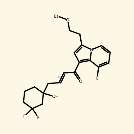 CCOCCc1cc(C(=O)/C=C/CC2(O)CCCC(F)(F)C2)c2c(Cl)cccn12